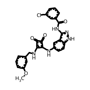 COc1cccc(CNc2c(Nc3ccc4[nH]nc(NC(=O)c5cccc(Cl)c5)c4c3)c(=O)c2=O)c1